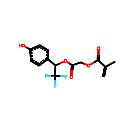 C=C(C)C(=O)OCC(=O)OC(c1ccc(O)cc1)C(F)(F)F